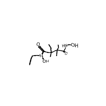 CCN(O)C(=O)C(C)(C)C(C)(C)C(=O)NO